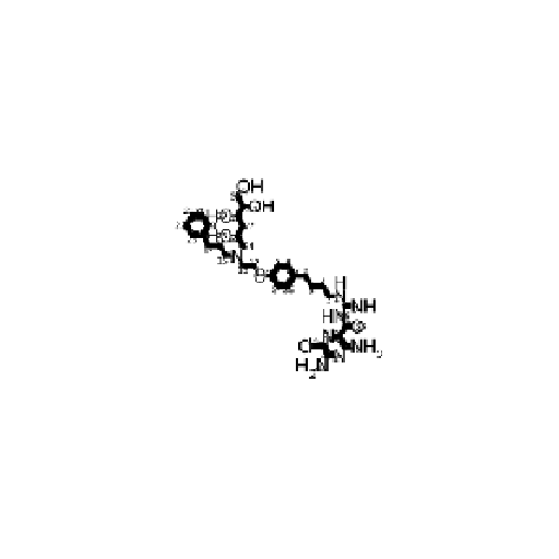 N=C(NCCCCc1ccc(OCCN(CCCc2ccccc2)C[C@H](O)C[C@H](O)[C@H](O)CO)cc1)NC(=O)c1nc(Cl)c(N)nc1N